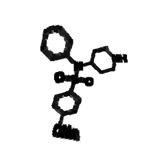 COc1ccc(S(=O)(=O)N(c2ccccc2)C2CCNCC2)cc1